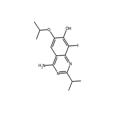 CC(C)Oc1cc2c(N)nc(C(C)C)nc2c(I)c1O